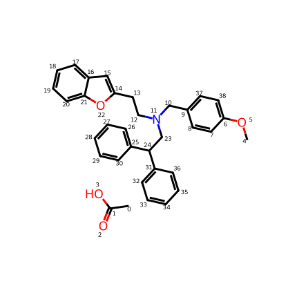 CC(=O)O.COc1ccc(CN(CCc2cc3ccccc3o2)CC(c2ccccc2)c2ccccc2)cc1